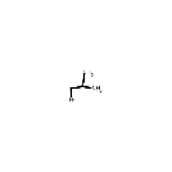 CC(N)C[N]